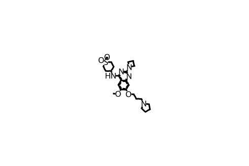 COc1cc2c(NC3CCS(=O)(=O)CC3)nc(N3CCC3)nc2cc1OCCCN1CCCC1